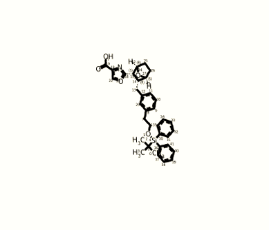 CC(C)(C)[Si](OCCc1cccc(C[C@@H]2[C@H](c3nc(C(=O)O)co3)[C@H]3CC[C@@H]2O3)c1)(c1ccccc1)c1ccccc1